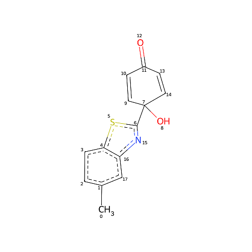 Cc1ccc2sc(C3(O)C=CC(=O)C=C3)nc2c1